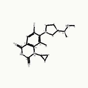 CN[C@@H](C)[C@@H]1CCN(c2c(F)cc3c(=O)[nH]c(=O)n(C4CC4)c3c2C)C1